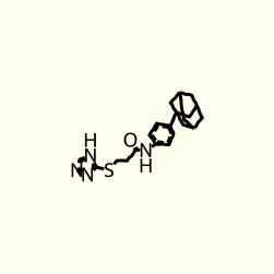 O=C(CCSc1nnc[nH]1)Nc1ccc(C23CC4CC(CC(C4)C2)C3)cc1